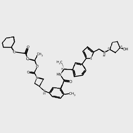 Cc1ccc(NC2CN(C(=O)OC(C)OC(=O)OC3CCCCC3)C2)cc1C(=O)N[C@H](C)c1cccc(-c2ccc(CN[C@H]3CC[C@@H](O)C3)s2)c1